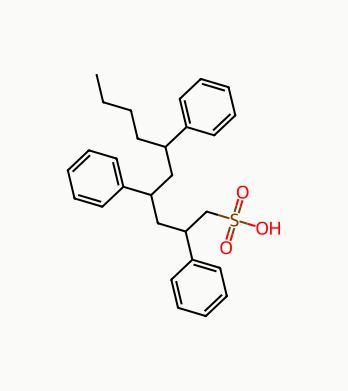 CCCCC(CC(CC(CS(=O)(=O)O)c1ccccc1)c1ccccc1)c1ccccc1